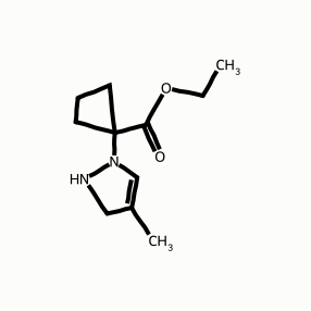 CCOC(=O)C1(N2C=C(C)CN2)CCC1